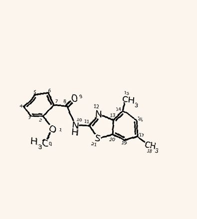 COc1ccccc1C(=O)Nc1nc2c(C)cc(C)cc2s1